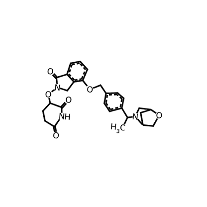 CC(c1ccc(COc2cccc3c2CN(OC2CCC(=O)NC2=O)C3=O)cc1)N1CC2CC1CO2